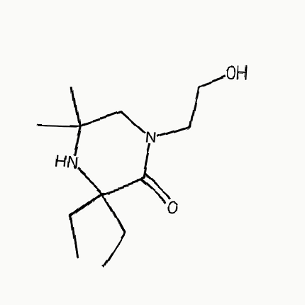 CCC1(CC)NC(C)(C)CN(CCO)C1=O